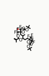 C=C(C)C(=O)OC(CCC(OC(=O)OC(C)(C)C)(C(F)(F)F)C(F)(F)F)C(C)CC(OC(=O)OC(C)(C)C)(C(F)(F)F)C(F)(F)F